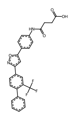 O=C(O)CCC(=O)Nc1ccc(-c2cc(-c3ccc(-c4ccccc4)c(C(F)(F)F)c3)no2)cc1